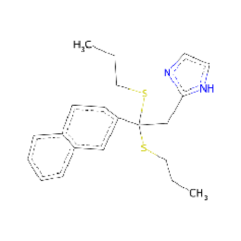 CCCSC(Cc1ncc[nH]1)(SCCC)c1ccc2ccccc2c1